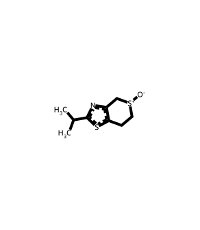 CC(C)c1nc2c(s1)CC[S+]([O-])C2